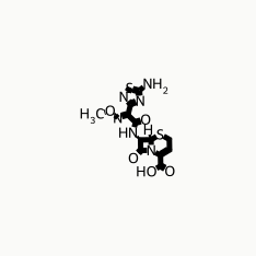 CON=C(C(=O)N[C@@H]1C(=O)N2C(C(=O)O)=CCS[C@@H]12)c1nsc(N)n1